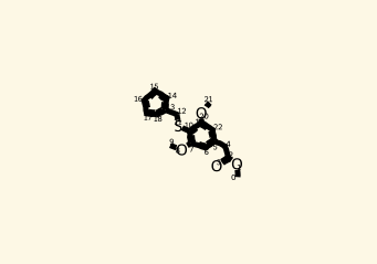 COC(=O)Cc1cc(OC)c(SCc2ccccc2)c(OC)c1